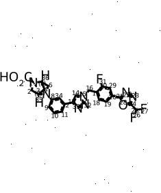 O=C(O)N1C[C@@H]2C[C@H]1CN2c1cccc(-c2cn(Cc3ccc(-c4nnc(C(F)F)o4)cc3F)nn2)c1